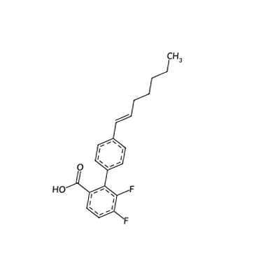 CCCCCC=Cc1ccc(-c2c(C(=O)O)ccc(F)c2F)cc1